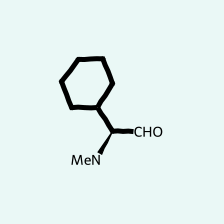 CN[C@H](C=O)C1CCCCC1